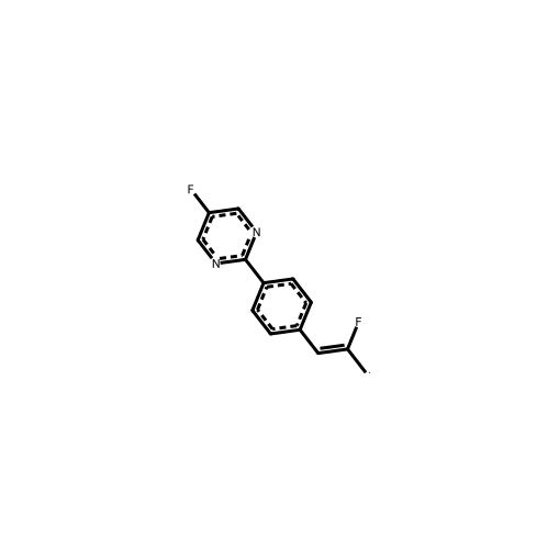 [CH2]/C(F)=C/c1ccc(-c2ncc(F)cn2)cc1